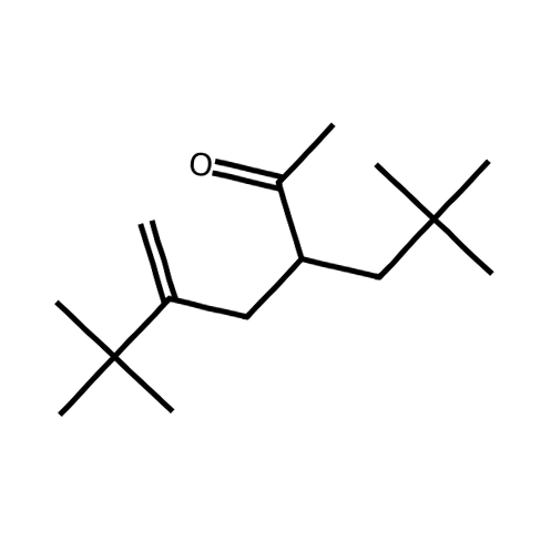 C=C(CC(CC(C)(C)C)C(C)=O)C(C)(C)C